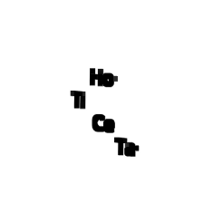 [Ce].[Ho].[Ta].[Ti]